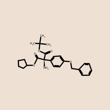 CC(C)(C)OC(=O)[C@@](N)(C(=O)OC1CCCC1)c1ccc(OCc2ccccc2)cc1